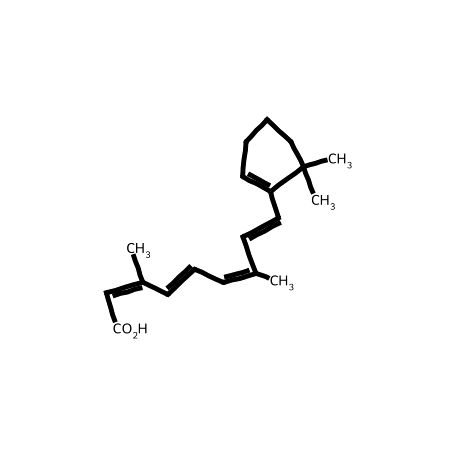 CC(=C/C(=O)O)/C=C/C=C(C)\C=C\C1=CCCCC1(C)C